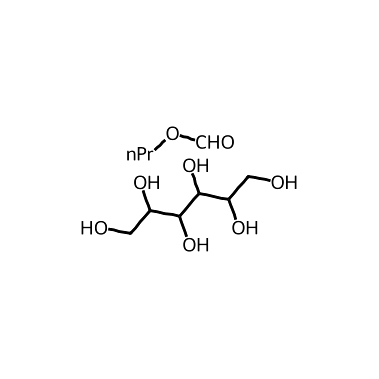 CCCOC=O.OCC(O)C(O)C(O)C(O)CO